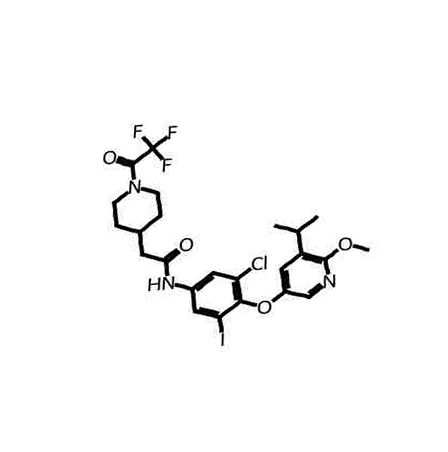 COc1ncc(Oc2c(Cl)cc(NC(=O)CC3CCN(C(=O)C(F)(F)F)CC3)cc2I)cc1C(C)C